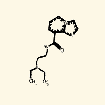 CCN(CC)CCNC(=O)c1cccn2ccnc12